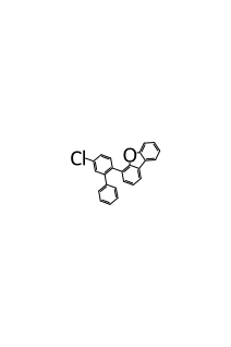 Clc1ccc(-c2cccc3c2oc2ccccc23)c(-c2ccccc2)c1